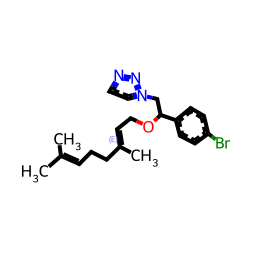 CC(C)=CCC/C(C)=C/COC(Cn1ccnn1)c1ccc(Br)cc1